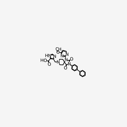 COc1ccnc(N2C(=O)N(c3ccc(-c4ccccc4)cc3)C(=O)C23CCN(Cc2nc[nH]c2C(=O)O)CC3)n1